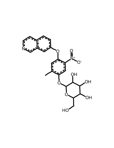 Cc1cc(Oc2ccc3ccncc3c2)c([N+](=O)[O-])cc1OC1OC(CO)C(O)C(O)C1O